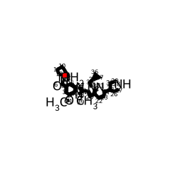 COc1cc(C(=O)N2CC3CCC2[C@@H]3N)cc2nc(-c3cc4ccc(C5CCNCC5)nc4n3CC3CC3)n(C)c12